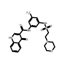 O=C(Nc1cc(NS(=O)(=O)CCN2CCOCC2)cc(C(F)(F)F)c1)c1c[nH]c2ccccc2c1=O